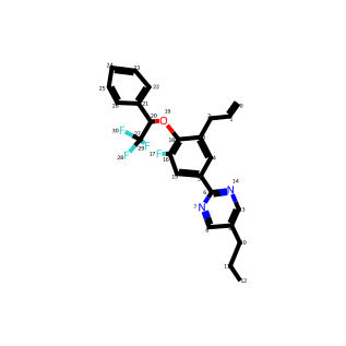 C=CCc1cc(-c2ncc(CCC)cn2)cc(F)c1OC(c1ccccc1)C(F)(F)F